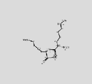 CNCCCCC(NC(=O)[C@H](CCCCNC(C)C)NC)C(=O)C(C)(C)C